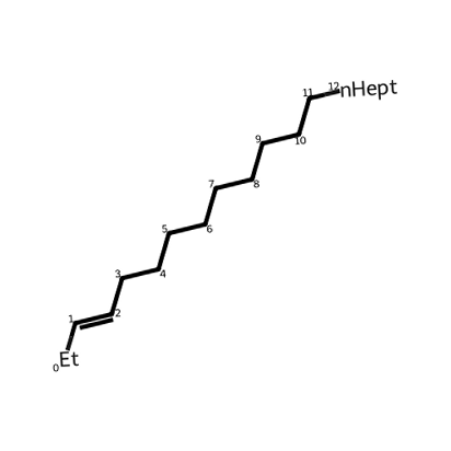 CC/C=C/CCCCCCCCCCCCCCCC